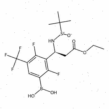 CCOC(=O)C[C@H](N[S+]([O-])C(C)(C)C)c1c(F)c(B(O)O)cc(C(F)(F)F)c1F